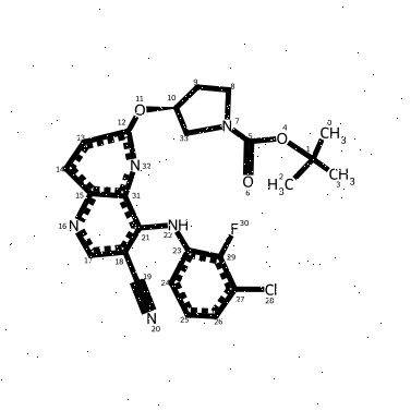 CC(C)(C)OC(=O)N1CC[C@H](Oc2ccc3ncc(C#N)c(Nc4cccc(Cl)c4F)c3n2)C1